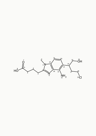 Cn1c(CCCC(=O)O)nc2c(N)c(C(CO)CCCl)ccc21